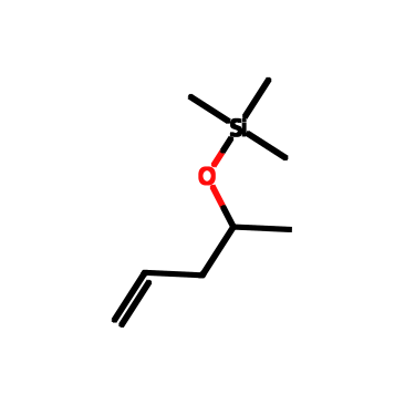 C=CCC(C)O[Si](C)(C)C